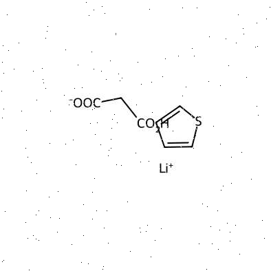 O=C([O-])CC(=O)O.[Li+].c1ccsc1